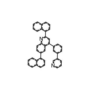 c1cncc(-c2cccc(-c3cc(-c4cccc5ccccc45)nc4ccc(-c5cccc6ccccc56)cc34)c2)c1